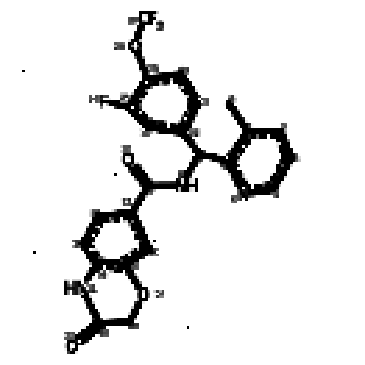 Cc1cccnc1C(NC(=O)c1ccc2c(c1)OCC(=O)N2)c1ccc(OC(F)(F)F)c(F)c1